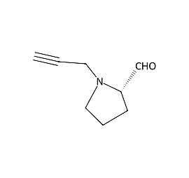 C#CCN1CCC[C@H]1C=O